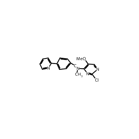 COc1cnc(Cl)nc1N(C)Cc1ccc(-c2ccccn2)cc1